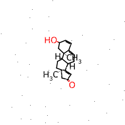 C[C@]12CC[C@H]3[C@@H](CC=C4C=CC(O)C[C@@]43C)C1=CC(=O)C2